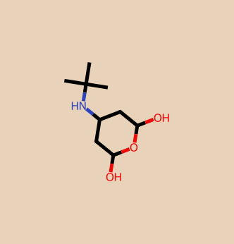 CC(C)(C)NC1CC(O)OC(O)C1